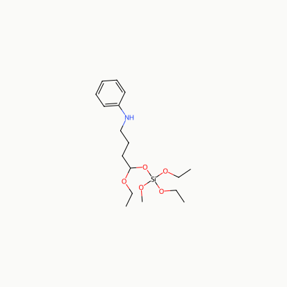 CCOC(CCCNc1ccccc1)O[Si](OC)(OCC)OCC